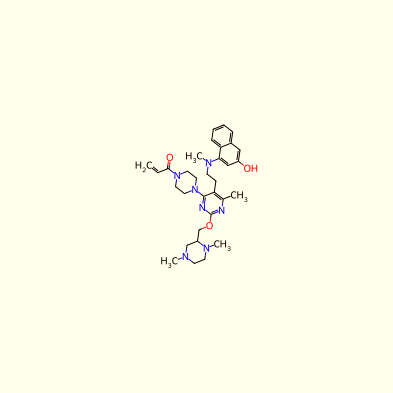 C=CC(=O)N1CCN(c2nc(OCC3CN(C)CCN3C)nc(C)c2CCN(C)c2cc(O)cc3ccccc23)CC1